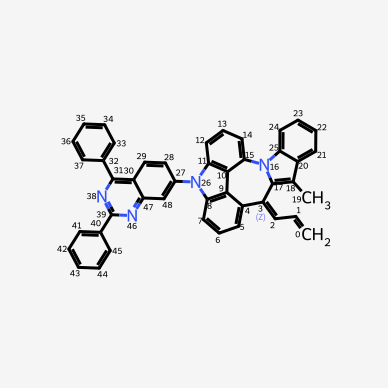 C=C/C=c1/c2cccc3c2c2c(cccc2n2c1c(C)c1ccccc12)n3-c1ccc2c(-c3ccccc3)nc(-c3ccccc3)nc2c1